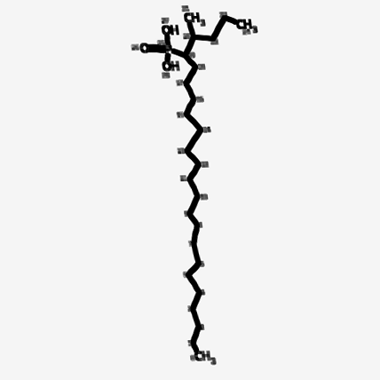 CCCCCCCCCCCCCCCCCCCC(C(C)CCC)P(=O)(O)O